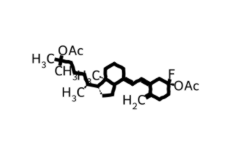 C=C1CC[C@](F)(OC(C)=O)C/C1=C/C=C1CCC[C@@]2(C)C1CC[C@@H]2[C@H](C)CCCC(C)(C)OC(C)=O